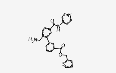 NCc1ccc(C(=O)Nc2ccncc2)cc1-c1cccc(C(=O)OCc2cccs2)c1